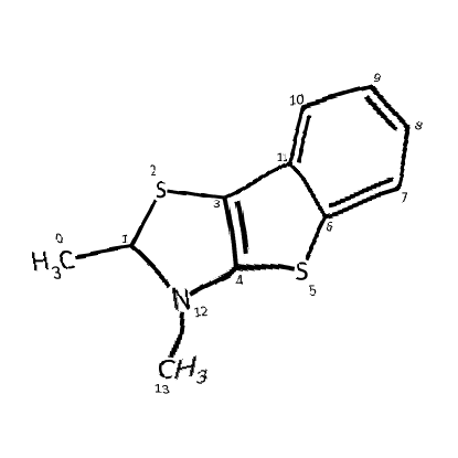 CC1Sc2c(sc3ccccc23)N1C